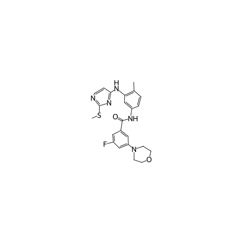 CSc1nccc(Nc2cc(NC(=O)c3cc(F)cc(N4CCOCC4)c3)ccc2C)n1